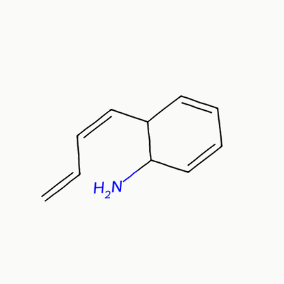 C=C/C=C\C1C=CC=CC1N